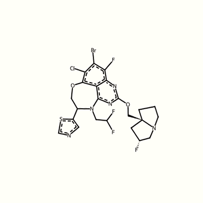 Fc1c(Br)c(Cl)c2c3c(nc(OC[C@@]45CCCN4C[C@H](F)C5)nc13)N(CC(F)F)C(c1cncs1)CO2